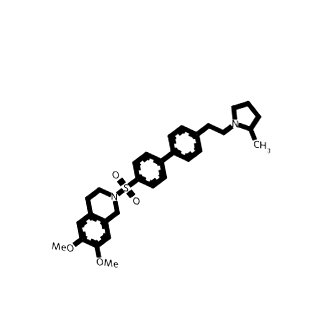 COc1cc2c(cc1OC)CN(S(=O)(=O)c1ccc(-c3ccc(CCN4CCCC4C)cc3)cc1)CC2